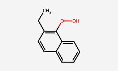 CCc1ccc2ccccc2c1OO